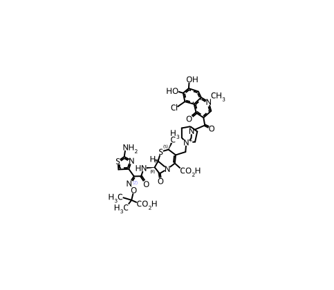 C[C@@H]1S[C@@H]2[C@H](NC(=O)/C(=N\OC(C)(C)C(=O)O)c3csc(N)n3)C(=O)N2C(C(=O)O)=C1C[N+]12CCC(CC1)N(C(=O)c1cn(C)c3cc(O)c(O)c(Cl)c3c1=O)CC2